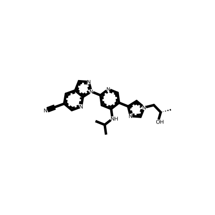 CC(C)Nc1cc(-n2ncc3cc(C#N)cnc32)ncc1-c1cn(C[C@H](C)O)cn1